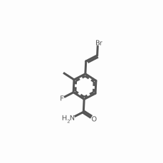 Cc1c(C=CBr)ccc(C(N)=O)c1F